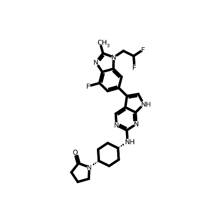 Cc1nc2c(F)cc(-c3c[nH]c4nc(N[C@H]5CC[C@@H](N6CCCC6=O)CC5)ncc34)cc2n1CC(F)F